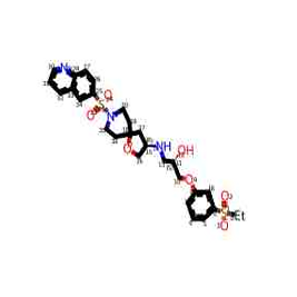 CCS(=O)(=O)c1cccc(OC[C@@H](O)CN[C@H]2COC3(CCN(S(=O)(=O)c4ccc5ncccc5c4)CC3)C2)c1